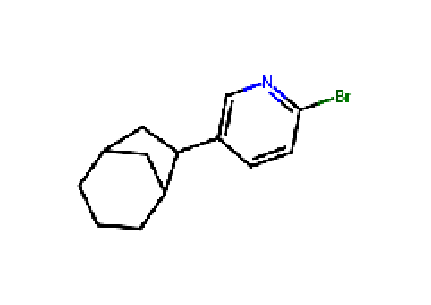 Brc1ccc(C2CC3CCCC2C3)cn1